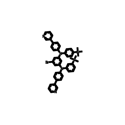 C[Si](C)(C)c1ccc(N(c2ccc(-c3cccnc3)cc2)c2cc(Br)cc(N(c3ccc(-c4cccnc4)cc3)c3cccc([Si](C)(C)C)c3)c2)cc1